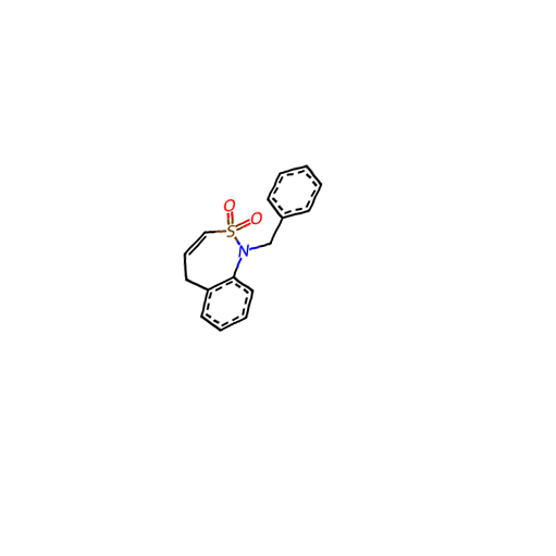 O=S1(=O)C=CCc2ccccc2N1Cc1ccccc1